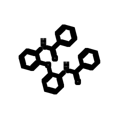 O=C(Nc1ccccc1Oc1ccccc1NC(=O)c1ccccc1)c1ccccc1